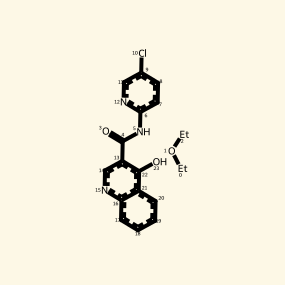 CCOCC.O=C(Nc1ccc(Cl)cn1)c1cnc2ccccc2c1O